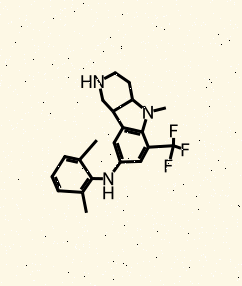 Cc1cccc(C)c1Nc1cc2c(c(C(F)(F)F)c1)N(C)C1CCNCC21